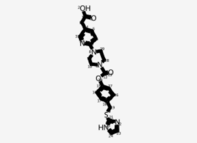 O=C(O)Cc1ccc(N2CCN(C(=O)Oc3ccc(CSc4ncc[nH]4)cc3)CC2)nc1